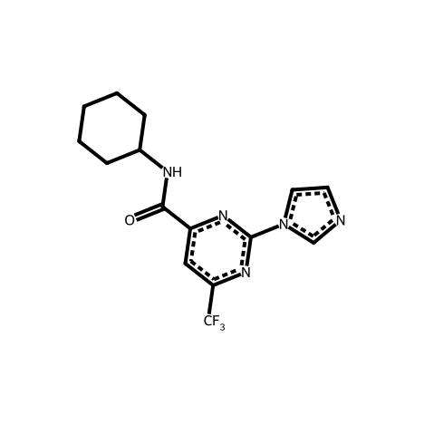 O=C(NC1CCCCC1)c1cc(C(F)(F)F)nc(-n2ccnc2)n1